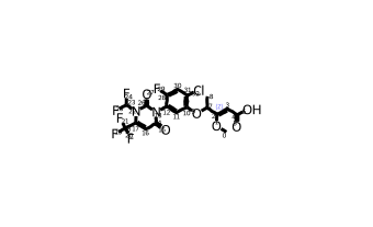 CO/C(=C\C(=O)O)C(C)Oc1cc(-n2c(=O)cc(C(F)(F)F)n(C(F)F)c2=O)c(F)cc1Cl